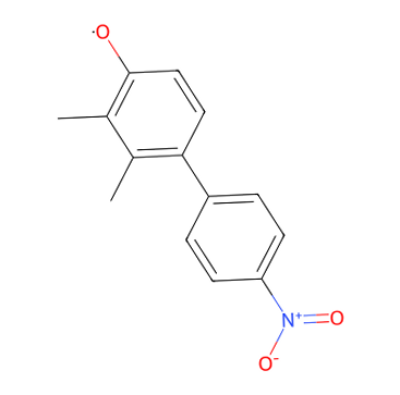 Cc1c([O])ccc(-c2ccc([N+](=O)[O-])cc2)c1C